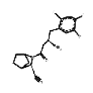 N#C[C@H]1C2CCC(C2)N1C(=O)C[C@H](N)Cc1cc(F)c(F)cc1F